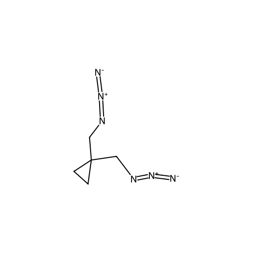 [N-]=[N+]=NCC1(CN=[N+]=[N-])CC1